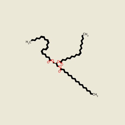 CCCCC/C=C\C/C=C\C/C=C\C/C=C\CCCC(=O)OC[C@H](COC(=O)CCCCCCCCCCCCCCCCC)OC(=O)CCCCCCC/C=C\CCCCCCCC